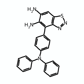 Nc1cc2snnc2c(-c2ccc(N(c3ccccc3)c3ccccc3)cc2)c1N